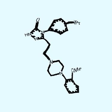 COc1ccccc1N1CCN(CCc2n[nH]c(=O)n2-c2ccc(C(C)C)cc2)CC1